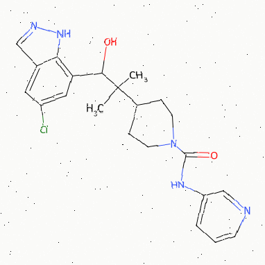 CC(C)(C1CCN(C(=O)Nc2cccnc2)CC1)C(O)c1cc(Cl)cc2cn[nH]c12